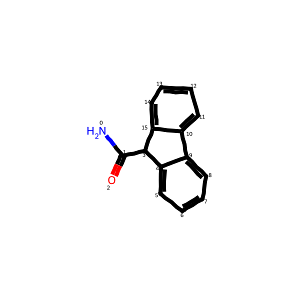 NC(=O)C1c2c[c]ccc2-c2ccccc21